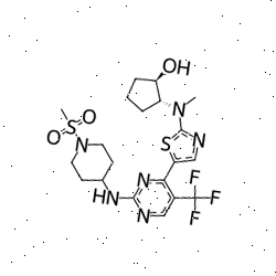 CN(c1ncc(-c2nc(NC3CCN(S(C)(=O)=O)CC3)ncc2C(F)(F)F)s1)[C@@H]1CCC[C@H]1O